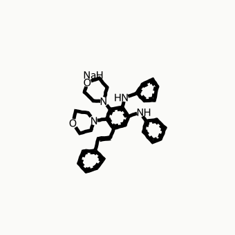 C(=Cc1cc(Nc2ccccc2)c(Nc2ccccc2)c(N2CCOCC2)c1N1CCOCC1)c1ccccc1.[NaH]